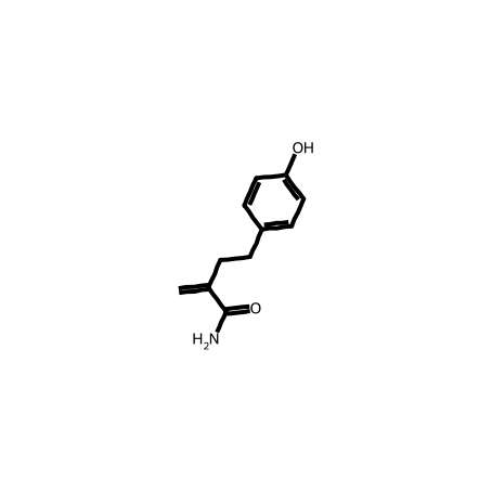 C=C(CCc1ccc(O)cc1)C(N)=O